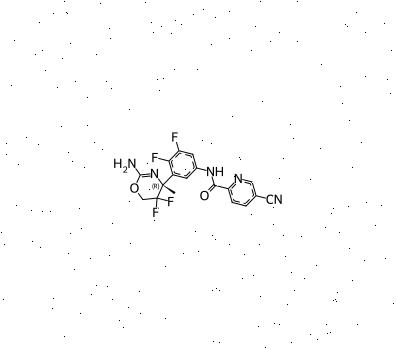 C[C@]1(c2cc(NC(=O)c3ccc(C#N)cn3)cc(F)c2F)N=C(N)OCC1(F)F